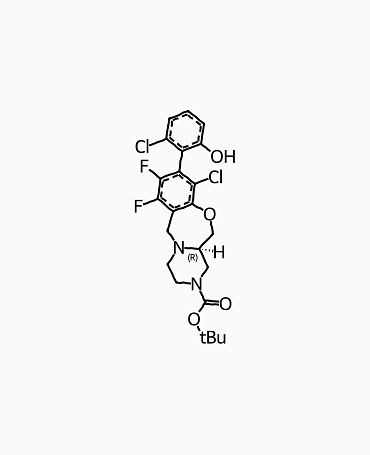 CC(C)(C)OC(=O)N1CCN2Cc3c(F)c(F)c(-c4c(O)cccc4Cl)c(Cl)c3OC[C@H]2C1